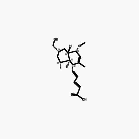 CO[C@@H]1C=C(C)[C@H](C=CC=CC(=O)O)[C@@H]2[C@@H]1C[C@@H](CO)C[C@H]2C